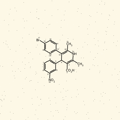 CC1=C(C(=O)O)C(c2cccc([N+](=O)[O-])c2)C(c2ccc(Br)cn2)=C(C)N1